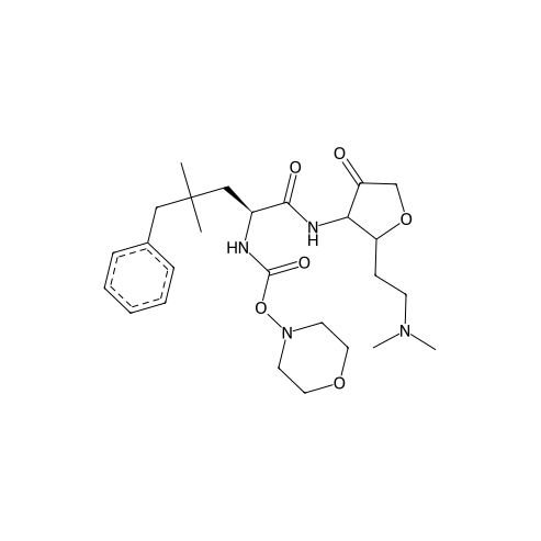 CN(C)CCC1OCC(=O)C1NC(=O)[C@H](CC(C)(C)Cc1ccccc1)NC(=O)ON1CCOCC1